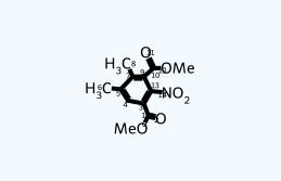 COC(=O)c1cc(C)c(C)c(C(=O)OC)c1[N+](=O)[O-]